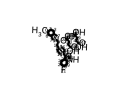 Cc1ccc2c(c1)CN(CCN1CCN(c3n[nH]c4cc(F)ccc34)CC1)C2.O=C(O)/C=C/C(=O)O.O=C(O)/C=C/C(=O)O